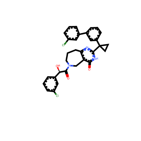 O=C([C@H](O)c1cccc(Cl)c1)N1CCCc2nc(C3(c4cccc(-c5cccc(Cl)c5)c4)CC3)[nH]c(=O)c2C1